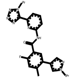 Cc1cc(F)c(C(=O)Nc2cccc(-c3nnnn3C(C)C)n2)cc1-c1cnn(C(C)C)c1